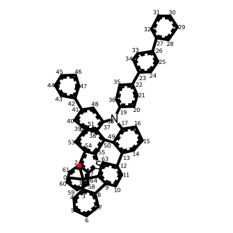 CC1(C)c2ccccc2-c2ccc(-c3cccc(N(c4ccc(-c5ccc(-c6ccccc6)cc5)cc4)c4cccc(-c5ccccc5)c4)c3-c3cccc4c3sc3ccccc34)cc21